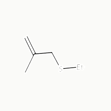 C=C(C)CS[CH]C